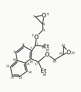 CCC(OCC1CO1)c1ccc2ccccc2c1C(CC)OCC1CO1